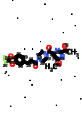 COc1cc(C(=O)N2CCN(C(=O)/C=C/c3ccc4c(c3)OC(F)(F)O4)CC2)nc(C(C)=O)n1